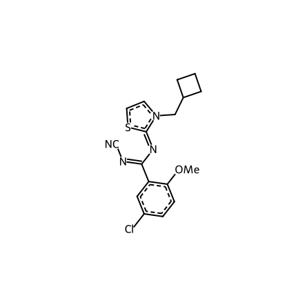 COc1ccc(Cl)cc1C(=NC#N)N=c1sccn1CC1CCC1